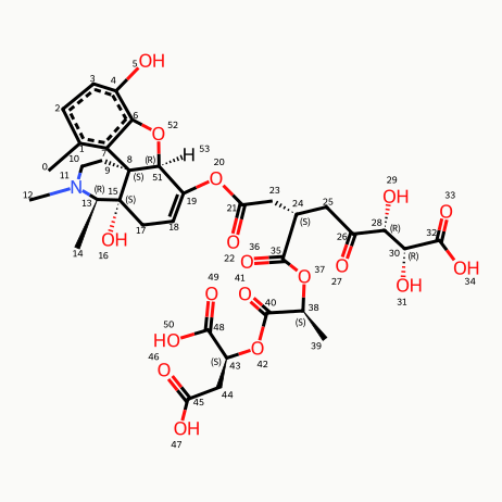 Cc1ccc(O)c2c1[C@]13CCN(C)[C@H](C)[C@]1(O)CC=C(OC(=O)C[C@H](CC(=O)[C@H](O)[C@@H](O)C(=O)O)C(=O)O[C@@H](C)C(=O)O[C@@H](CC(=O)O)C(=O)O)[C@@H]3O2